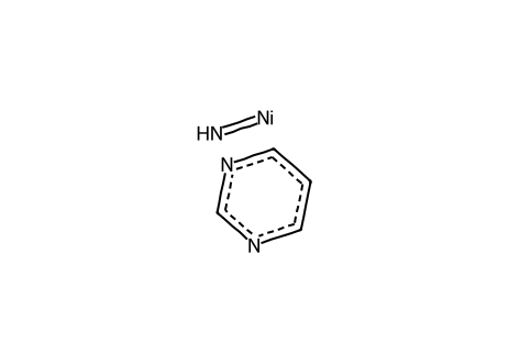 [NH]=[Ni].c1cncnc1